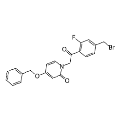 O=C(Cn1ccc(OCc2ccccc2)cc1=O)c1ccc(CBr)cc1F